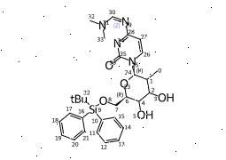 CC1C(O)C(O)[C@@H](CO[Si](c2ccccc2)(c2ccccc2)C(C)(C)C)O[C@H]1n1ccc(/N=C\N(C)C)nc1=O